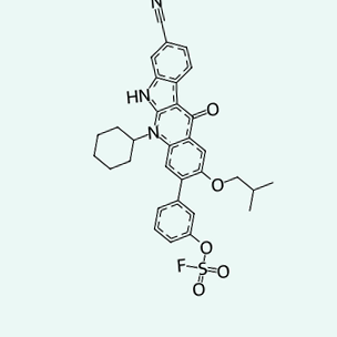 CC(C)COc1cc2c(=O)c3c4ccc(C#N)cc4[nH]c3n(C3CCCCC3)c2cc1-c1cccc(OS(=O)(=O)F)c1